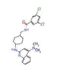 CN(C)c1cc(NC2CCC(CNC(=O)c3cc(Cl)cc(Cl)c3)CC2)nc2ccccc12